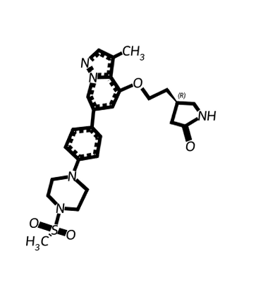 Cc1cnn2cc(-c3ccc(N4CCN(S(C)(=O)=O)CC4)cc3)cc(OCC[C@H]3CNC(=O)C3)c12